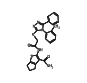 Cc1ccccc1-n1c(SCC(=O)Nc2sc3c(c2C(N)=O)CCC3)nnc1-c1ccccc1